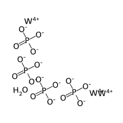 O.O=P([O-])([O-])[O-].O=P([O-])([O-])[O-].O=P([O-])([O-])[O-].O=P([O-])([O-])[O-].[W+4].[W+4].[W+4]